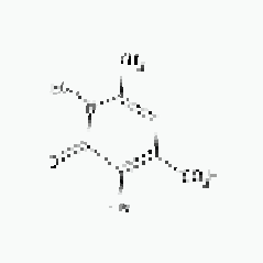 CCn1c(C)cc(C(=O)O)c(C#N)c1=O